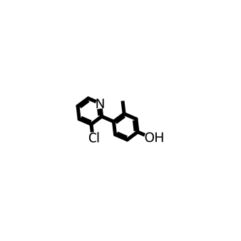 Cc1cc(O)ccc1-c1ncccc1Cl